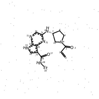 C=CC(=O)N1CC[C@@H](Nc2cnc3[nH]cc(C(=O)NCC)c3n2)C1